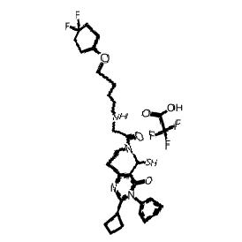 O=C(CNCCCCCOC1CCC(F)(F)CC1)N1CCc2nc(C3CCC3)n(-c3ccccc3)c(=O)c2C1S.O=C(O)C(F)(F)F